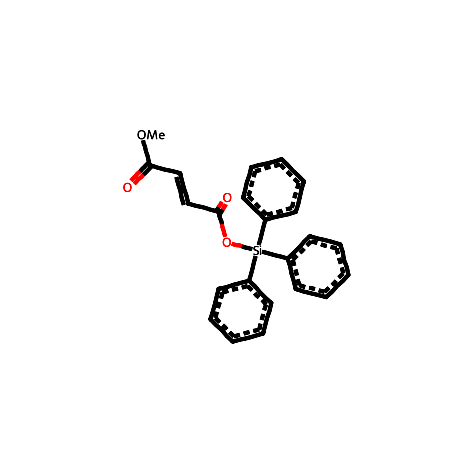 COC(=O)/C=C/C(=O)O[Si](c1ccccc1)(c1ccccc1)c1ccccc1